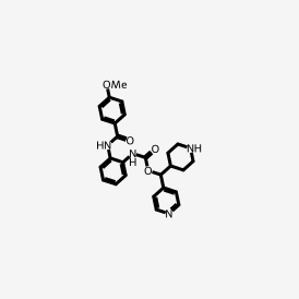 COc1ccc(C(=O)Nc2ccccc2NC(=O)OC(c2ccncc2)C2CCNCC2)cc1